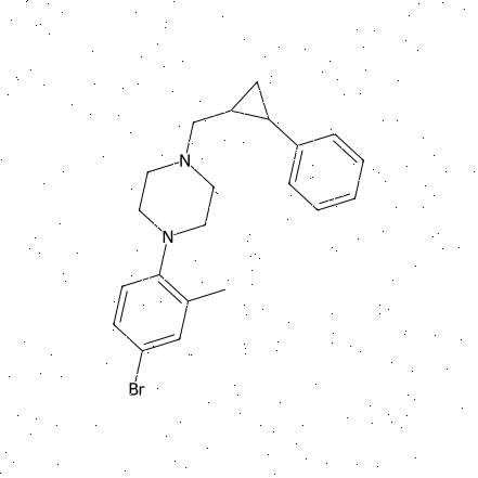 Cc1cc(Br)ccc1N1CCN(CC2CC2c2ccccc2)CC1